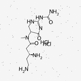 CN(C(=O)C[C@@H](N)CCN)C1CNC(NC(N)=O)=NC1=O.Cl.Cl